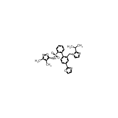 Cc1noc(NS(=O)(=O)c2ccccc2-c2ccc(-c3ncco3)cc2Cn2ccnc2C(C)C)c1C